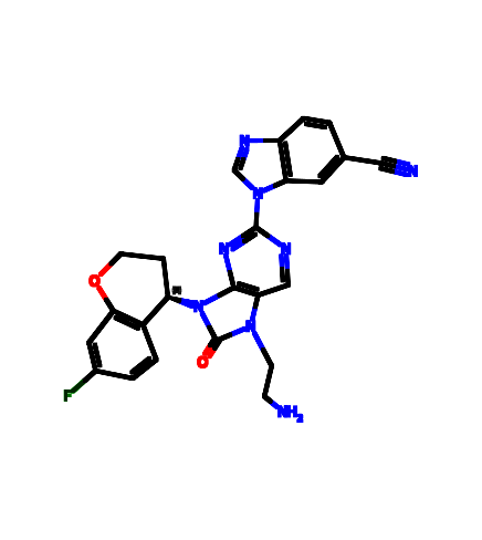 N#Cc1ccc2ncn(-c3ncc4c(n3)n([C@@H]3CCOc5cc(F)ccc53)c(=O)n4CCN)c2c1